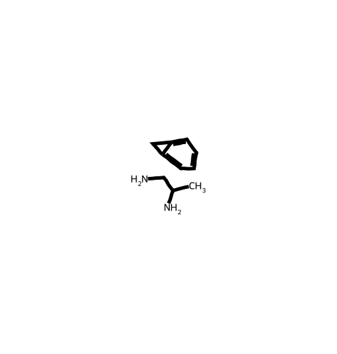 CC(N)CN.c1ccc2c(c1)C2